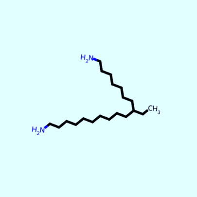 CCC(CCCCCCCN)CCCCCCCCCCN